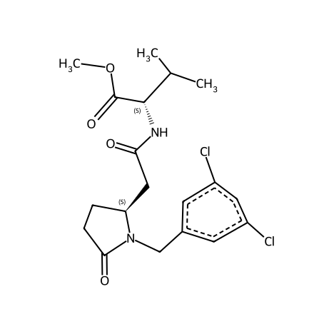 COC(=O)[C@@H](NC(=O)C[C@@H]1CCC(=O)N1Cc1cc(Cl)cc(Cl)c1)C(C)C